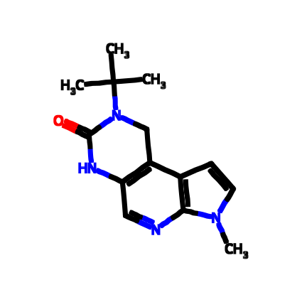 Cn1ccc2c3c(cnc21)NC(=O)N(C(C)(C)C)C3